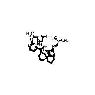 C[C@H](Oc1nccc(/C(O)=C2\CCC[C@@]3(CCCc4sc(/N=C/N(C)C)c(C#N)c43)C2=N)n1)[C@@H]1C[C@@H](F)CN1C